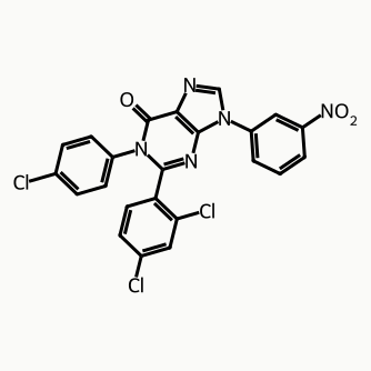 O=c1c2ncn(-c3cccc([N+](=O)[O-])c3)c2nc(-c2ccc(Cl)cc2Cl)n1-c1ccc(Cl)cc1